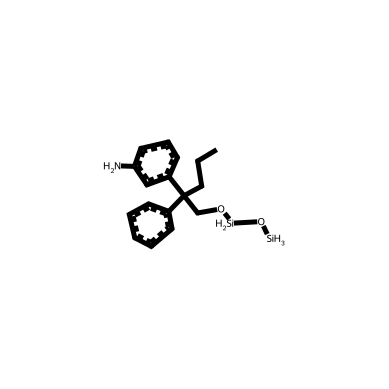 CCCC(CO[SiH2]O[SiH3])(c1ccccc1)c1cccc(N)c1